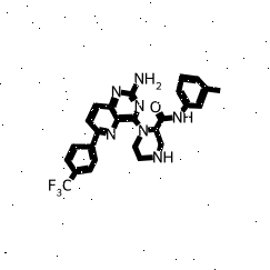 Cc1cccc(NC(=O)C2CNCCN2c2nc(N)nc3ccc(-c4ccc(C(F)(F)F)cc4)nc23)c1